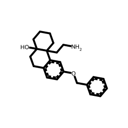 NCCC12CCCCC1(O)CCc1ccc(OCc3ccccc3)cc12